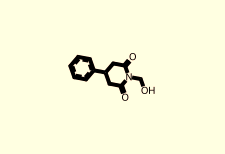 O=C1CC(c2ccccc2)CC(=O)N1CO